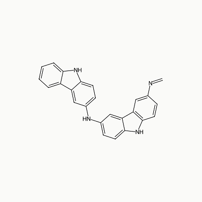 C=Nc1ccc2[nH]c3ccc(Nc4ccc5[nH]c6ccccc6c5c4)cc3c2c1